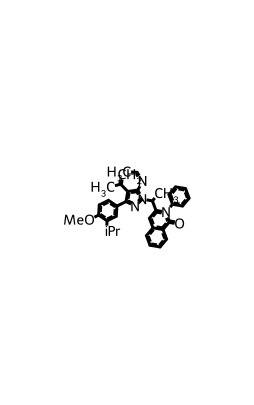 C=C(C)c1c(-c2ccc(OC)c(C(C)C)c2)nn(C(C)c2cc3ccccc3c(=O)n2-c2ccccc2)c1/N=C\C